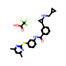 Cc1cc(C)nc(Sc2cccc(NC(=O)c3cccc(C4CC4NCC4CC4)c3)c2)n1.O=C(O)C(F)(F)F